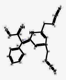 [N-]=[N+]=NCC1=CC(CN=[N+]=[N-])=N/C(=C(/C(=N)N=O)c2ccccc2)N1